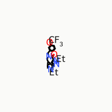 CCN1CC2C(C1)C2CN(Cc1cccc(OC(F)(F)F)c1)C(=O)c1cc(C)nn1CC